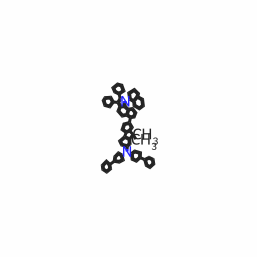 CC1(C)c2cc(-c3cccc4c3ccc3c(-c5ccccc5)c(-c5ccccc5)n(-c5cccc6ccccc56)c34)ccc2-c2ccc(N(c3ccc(-c4ccccc4)cc3)c3ccc(-c4ccccc4)cc3)cc21